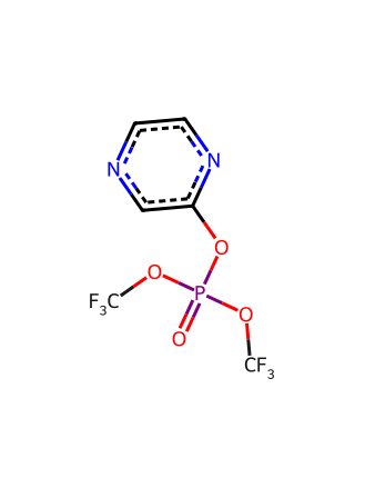 O=P(Oc1cnccn1)(OC(F)(F)F)OC(F)(F)F